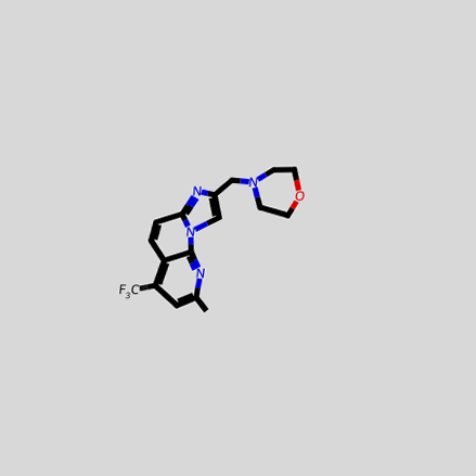 Cc1cc(C(F)(F)F)c2ccc3nc(CN4CCOCC4)cn3c2n1